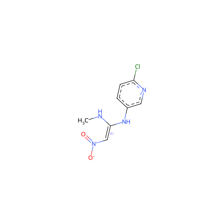 CN/C(=C\[N+](=O)[O-])Nc1ccc(Cl)nc1